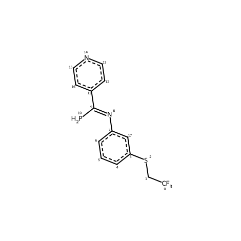 FC(F)(F)CSc1cccc(/N=C(\P)c2ccncc2)c1